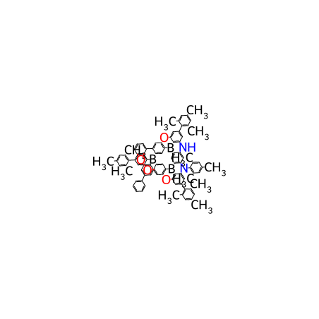 Cc1cc(C)c(-c2cc3c4c(c2)Oc2cc(-c5ccccc5)ccc2B4c2cc4c(cc2N3)N(c2c(C)cc(C)cc2C)c2cc(-c3c(C)cc(C)cc3C)cc3c2B4c2cc4c(cc2O3)Oc2cc(-c3c(C)cc(C)cc3C)cc3c2B4c2ccc(-c4ccccc4)cc2O3)c(C)c1